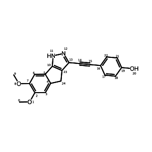 COc1cc2c(cc1OC)-c1[nH]nc(C#Cc3ccc(O)cc3)c1C2